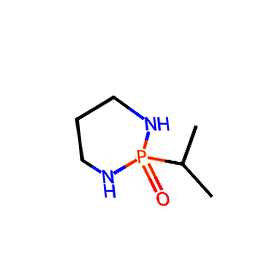 CC(C)P1(=O)NCCCN1